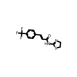 O=C(/C=C/c1ccc(C(F)(F)F)cc1)NC1=NCCS1